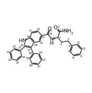 NC(=O)C(CCc1ccccc1)NC(=O)c1ccc2[nH]c(-c3ccccc3)c(-c3ccccc3)c2c1